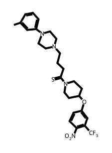 Cc1cccc(N2CCN(CCCC(=S)N3CCC(Oc4ccc([N+](=O)[O-])c(C(F)(F)F)c4)CC3)CC2)c1